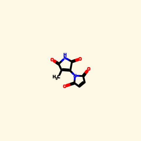 CC1=C(N2C(=O)C=CC2=O)C(=O)NC1=O